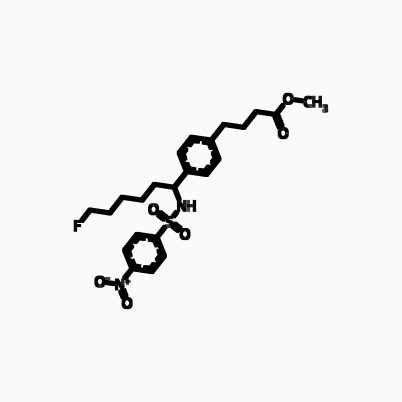 COC(=O)CCCc1ccc(C(CCCCCF)NS(=O)(=O)c2ccc([N+](=O)[O-])cc2)cc1